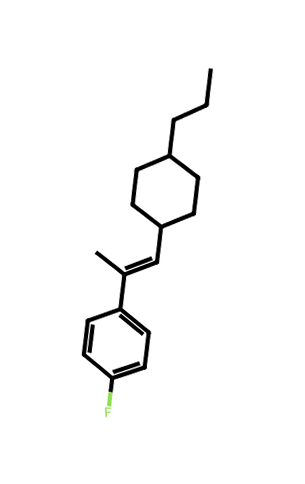 CCCC1CCC(/C=C(\C)c2ccc(F)cc2)CC1